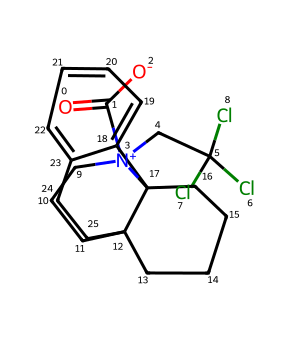 O=C([O-])[N+]1(CC(Cl)(Cl)Cl)CCCC23CCCCC21c1ccccc1CC3